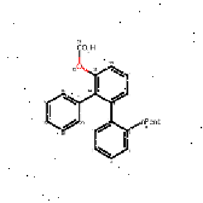 CCCCCc1ccccc1-c1cccc(OC(=O)O)c1-c1ccccc1